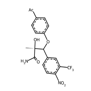 CC(=O)c1ccc(OC(c2ccc([N+](=O)[O-])c(C(F)(F)F)c2)[C@](C)(O)C(N)=O)cc1